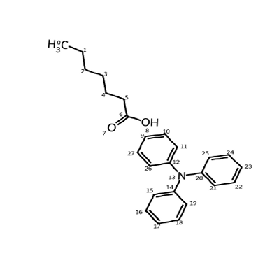 CCCCCCC(=O)O.c1ccc(N(c2ccccc2)c2ccccc2)cc1